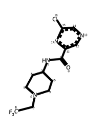 O=C(NC1CCN(CC(F)(F)F)CC1)c1cncc(Cl)n1